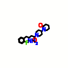 N[C@@H](CC(=O)N1CCC(N2CCCCC2=O)CC1)Cc1ccccc1F